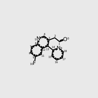 O=CCc1cnc2ccc(F)cc2c1-c1ccccn1